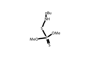 CCCCNSP(=S)(OC)OC